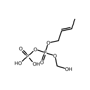 CC=CCOP(=O)(OCO)OP(=O)(O)O